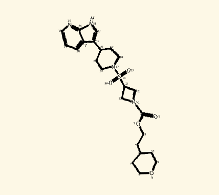 O=C(OCCC1CCOCC1)N1CC(S(=O)(=O)N2CCC(c3c[nH]c4ncccc34)CC2)C1